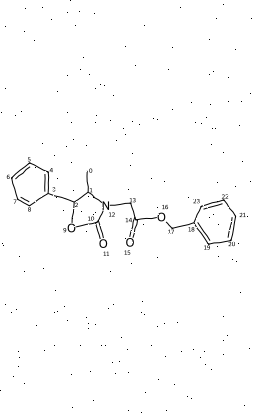 CC1C(c2ccccc2)OC(=O)N1CC(=O)OCc1ccccc1